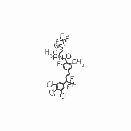 Cc1cc(/C=C/C(c2cc(Cl)c(Cl)c(Cl)c2)C(F)(F)F)cc(F)c1C(=O)N[C@H](C)C[S+]([O-])CC(F)(F)F